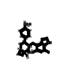 COc1cc(C)c2[nH]ccc2c1CN1C[C@H]2CCN2CC1c1ccc(C(=O)O)cc1